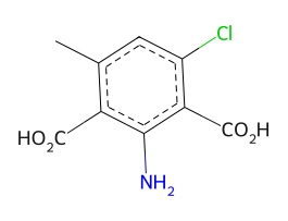 Cc1cc(Cl)c(C(=O)O)c(N)c1C(=O)O